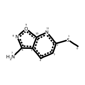 CSc1ccc2c(N)noc2n1